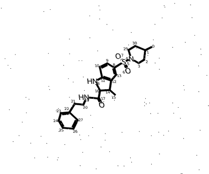 CC1CCN(S(=O)(=O)c2ccc3c(c2)C(C)C(C(=O)NCCc2ccccc2)N3)CC1